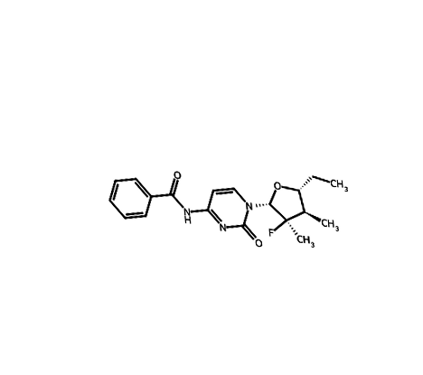 CC[C@H]1O[C@@H](n2ccc(NC(=O)c3ccccc3)nc2=O)[C@](C)(F)[C@@H]1C